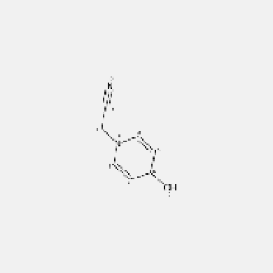 N#CCN1C=CC(O)C=C1